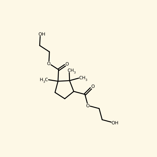 CC1(C(=O)OCCO)CCC(C(=O)OCCO)C1(C)C